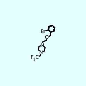 FC(F)(F)CN1CCN(CCOCc2ccccc2Br)CC1